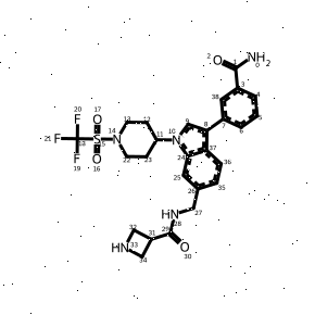 NC(=O)c1cccc(-c2cn(C3CCN(S(=O)(=O)C(F)(F)F)CC3)c3cc(CNC(=O)C4CNC4)ccc23)c1